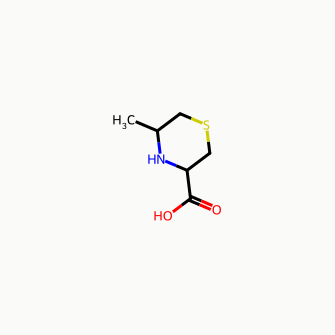 CC1CSCC(C(=O)O)N1